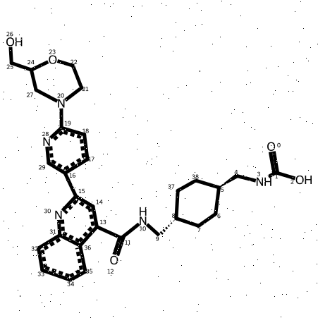 O=C(O)NC[C@H]1CC[C@H](CNC(=O)c2cc(-c3ccc(N4CCOC(CO)C4)nc3)nc3ccccc23)CC1